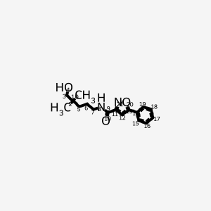 CC(C)(CO)CCCNC(=O)c1cc(-c2ccccc2)on1